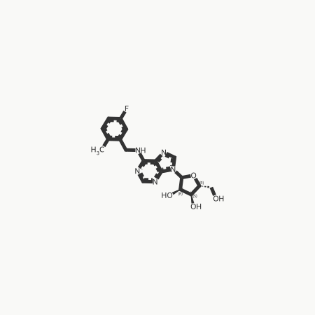 Cc1ccc(F)cc1CNc1ncnc2c1ncn2C1O[C@H](CO)[C@@H](O)[C@H]1O